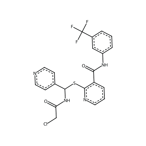 O=C(CCl)NC(Sc1ncccc1C(=O)Nc1cccc(C(F)(F)F)c1)c1ccncc1